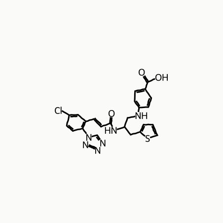 O=C(/C=C/c1cc(Cl)ccc1-n1cnnn1)NC(CNc1ccc(C(=O)O)cc1)Cc1cccs1